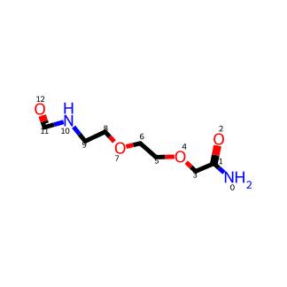 NC(=O)COCCOCCNC=O